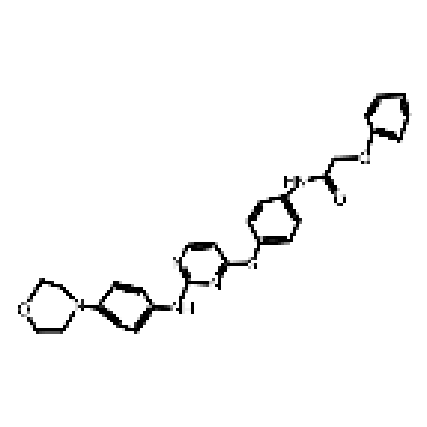 O=C(COc1ccccc1)Nc1ccc(Sc2ccnc(Nc3ccc(N4CCOCC4)cc3)n2)cc1